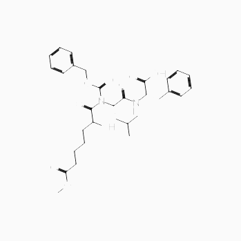 COC(=O)CCCCC(S)C(=O)N(C(=O)OCc1ccccc1)[C@@H](CC(C)C)C(=O)N[C@@H](Cc1ccccc1)C(=O)O